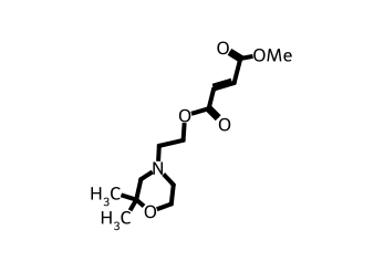 COC(=O)/C=C/C(=O)OCCN1CCOC(C)(C)C1